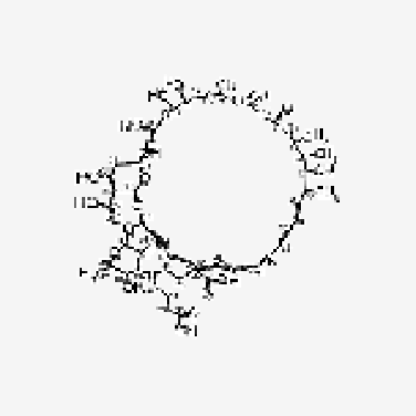 C[C@@H]1OC(=O)CC(O)CC(O)CCC(O)C(O)CC(O)CC2(O)C[C@H](O)C(C(=O)O)C(CC(O[C@@H]3O[C@H](C)C(O)[C@H](N(CCCC(=O)O)CCCC(=O)O)[C@@H]3O)/C=C/C=C/C=C/C=C/C=C/C=C/C=C/[C@H](C)C(O)[C@H]1C)O2